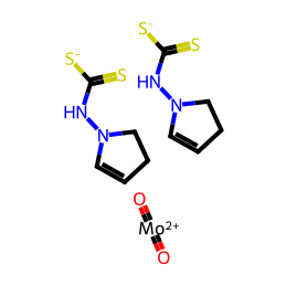 S=C([S-])NN1C=CCC1.S=C([S-])NN1C=CCC1.[O]=[Mo+2]=[O]